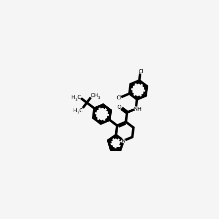 CC(C)(C)c1ccc(C2=C(C(=O)Nc3ccc(Cl)cc3Cl)CCn3cccc32)cc1